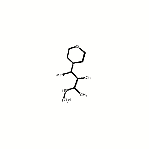 CNC(C1CCOCC1)C(O)C(C)NC(=O)O